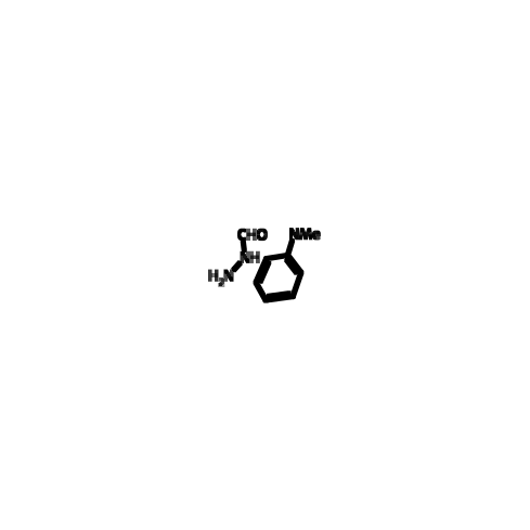 CNc1ccccc1.NNC=O